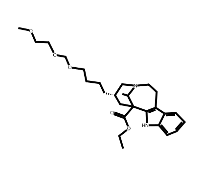 CCOC(=O)C12C[C@H](CCCCOCOCCOC)CN(CCc3c1[nH]c1ccccc31)C2C